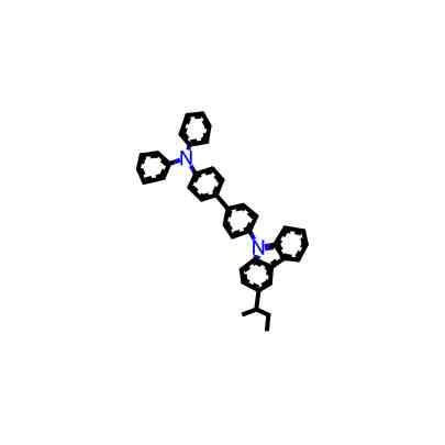 CCC(C)c1ccc2c(c1)c1ccccc1n2-c1ccc(-c2ccc(N(c3ccccc3)c3ccccc3)cc2)cc1